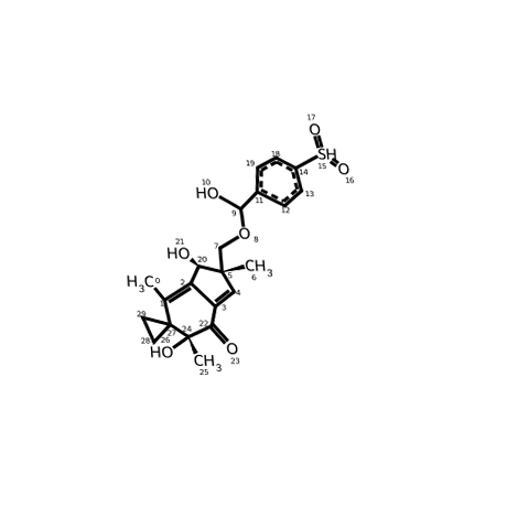 CC1=C2C(=C[C@@](C)(COC(O)c3ccc([SH](=O)=O)cc3)[C@@H]2O)C(=O)[C@](C)(O)C12CC2